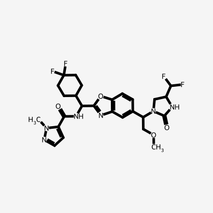 COCC(c1ccc2oc(C(NC(=O)c3ccnn3C)C3CCC(F)(F)CC3)nc2c1)N1CC(C(F)F)NC1=O